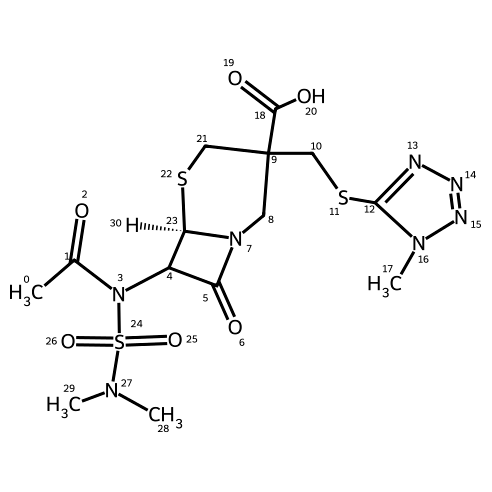 CC(=O)N(C1C(=O)N2CC(CSc3nnnn3C)(C(=O)O)CS[C@H]12)S(=O)(=O)N(C)C